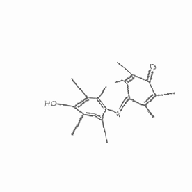 CC1=C(C)C(=Nc2c(C)c(C)c(O)c(C)c2C)C(C)=C(C)C1=O